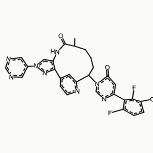 CC1CCCC(n2cnc(-c3c(F)ccc(Cl)c3F)cc2=O)c2cc(ccn2)-c2nn(-c3cncnc3)cc2NC1=O